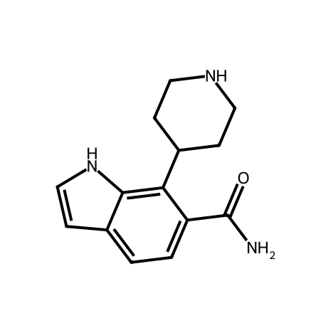 NC(=O)c1ccc2cc[nH]c2c1C1CCNCC1